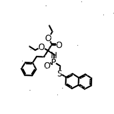 CCOC(=O)C(CCc1ccccc1)(C[PH](=O)CSc1ccc2ccccc2c1)OCC